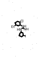 CCc1ccc(Cl)c(NC(=N)Nc2cccc(I)c2)c1